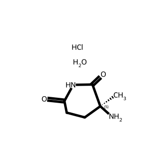 C[C@]1(N)CCC(=O)NC1=O.Cl.O